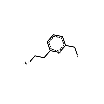 CCCc1cccc(CI)n1